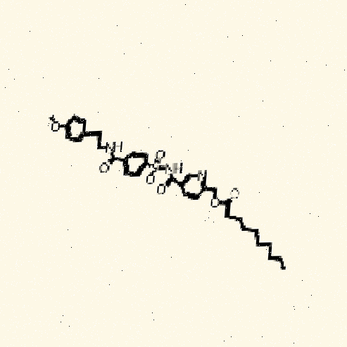 CCCCCCCCCC(=O)OCc1ccc(C(=O)NS(=O)(=O)c2ccc(C(=O)NCCc3ccc(OC)cc3)cc2)cn1